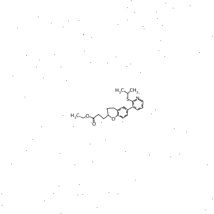 CCOC(=O)CCC1CCc2cc(-c3cccnc3SC(C)C)ccc2O1